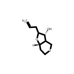 C=CCC1O[C@H]2CCSCC2[C@H]1O